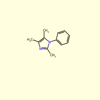 Cc1nc(C)n(-c2ccccc2)c1C